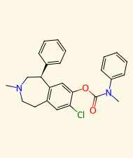 CN1CCc2cc(Cl)c(OC(=O)N(C)c3ccccc3)cc2[C@H](c2ccccc2)C1